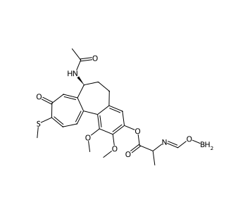 BOC=NC(C)C(=O)Oc1cc2c(c(OC)c1OC)-c1ccc(SC)c(=O)cc1[C@@H](NC(C)=O)CC2